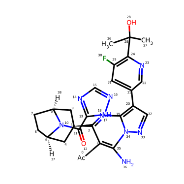 CC(=O)c1c([C@H]2C[C@H]3CC[C@@H](C2)N3C(=O)c2ncn[nH]2)nc2c(-c3cnc(C(C)(C)O)c(F)c3)cnn2c1N